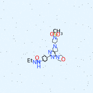 CCNC(=O)Nc1ccc(-c2nc3c(c(N4CCOCC4)n2)CCN(C2CCN(S(C)(=O)=O)CC2)C3)cc1